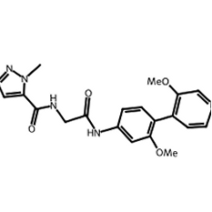 COc1cnccc1-c1ccc(NC(=O)CNC(=O)c2ccnn2C)cc1OC